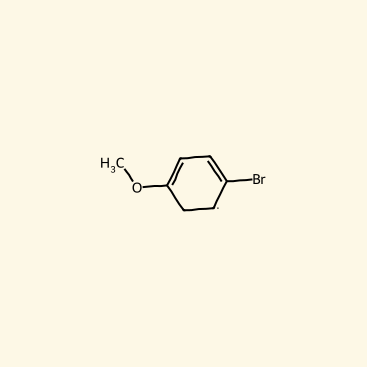 COC1=CC=C(Br)[CH]C1